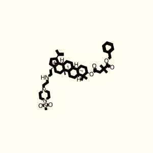 C=C(C)[C@@H]1CC[C@]2(CCNCCN3CCN(S(C)(=O)=O)CC3)CC[C@]3(C)[C@H](CC[C@@H]4[C@@]5(C)CC[C@H](OC(=O)CC(C)(C)C(=O)OCc6ccccc6)C(C)(C)[C@@H]5CC[C@]43C)[C@@H]12